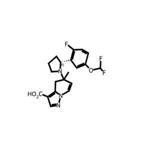 CC1(N2CCC[C@@H]2c2cc(OC(F)F)ccc2F)C=Cn2ncc(C(=O)O)c2C1